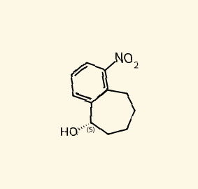 O=[N+]([O-])c1cccc2c1CCCC[C@@H]2O